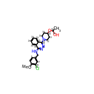 COc1ccc(CNc2nnc(N3CCC(OC(C)O)CC3)c3ccccc23)cc1Cl